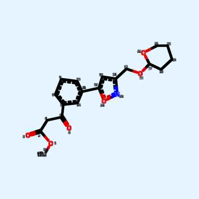 CC(C)(C)OC(=O)CC(=O)c1cccc(-c2cc(COC3CCCCO3)no2)c1